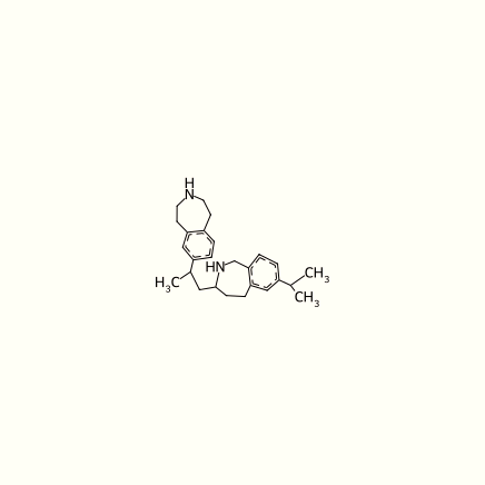 CC(C)c1ccc2c(c1)CCC(CC(C)c1ccc3c(c1)CCNCC3)NC2